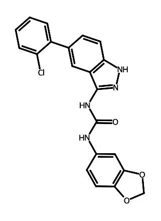 O=C(Nc1ccc2c(c1)OCO2)Nc1n[nH]c2ccc(-c3ccccc3Cl)cc12